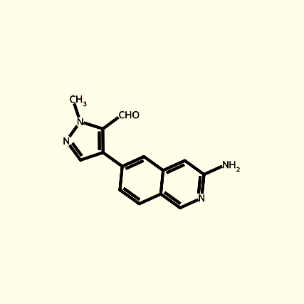 Cn1ncc(-c2ccc3cnc(N)cc3c2)c1C=O